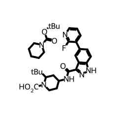 CC(C)(C)C1CC(NC(=O)c2n[nH]c3ccc(-c4cccnc4F)cc23)CCN1C(=O)O.CC(C)(C)OC(=O)N1CCCCC1